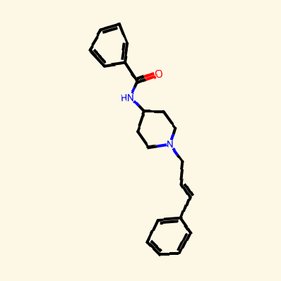 O=C(NC1CCN(CC=Cc2ccccc2)CC1)c1ccccc1